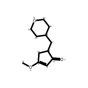 COC1=CC(=O)C(CC2CCOCC2)C1